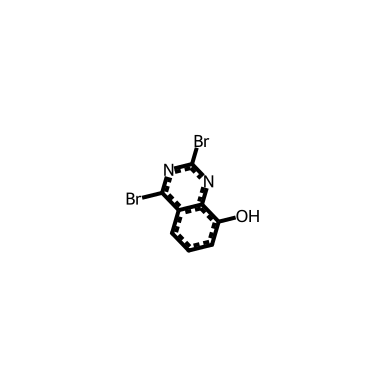 Oc1cccc2c(Br)nc(Br)nc12